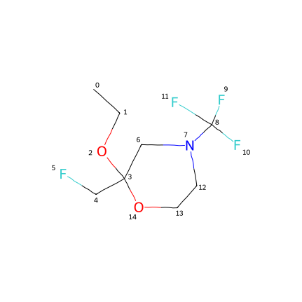 CCOC1(CF)CN(C(F)(F)F)CCO1